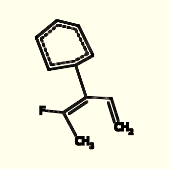 C=C/C(=C(\C)F)c1ccccc1